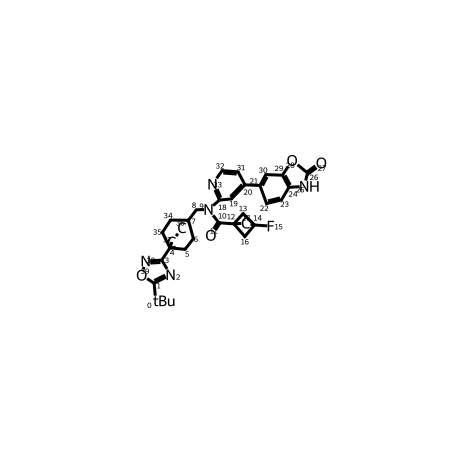 CC(C)(C)c1nc(C23CCC(CN(C(=O)C45CC(F)(C4)C5)c4cc(-c5ccc6[nH]c(=O)oc6c5)ccn4)(CC2)CC3)no1